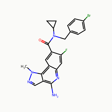 Cn1ncc2c(N)nc3cc(F)c(C(=O)N(Cc4ccc(Br)cc4)C4CC4)cc3c21